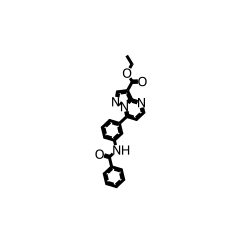 CCOC(=O)c1cnn2c(-c3cccc(NC(=O)c4ccccc4)c3)ccnc12